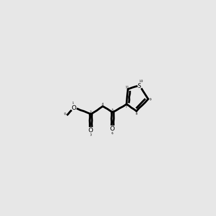 COC(=O)CC(=O)c1ccsc1